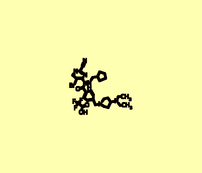 CCN(CC)C1CCN(Cc2ccc(C(=O)N(NCC3CCCC3)c3nc(C#N)ncc3Br)cc2)CC1.O=C(O)C(F)(F)F